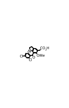 COc1c(CC(=O)O)cc2c(c1C(=O)c1c(Cl)cc(Cl)cc1Cl)OCC2